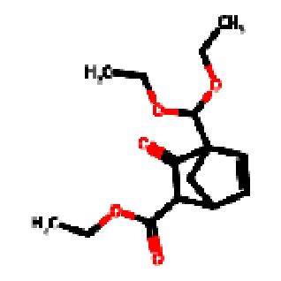 CCOC(=O)C1C(=O)C2(C(OCC)OCC)C=CC1C2